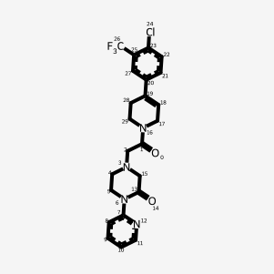 O=C(CN1CCN(c2ccccn2)C(=O)C1)N1CC=C(c2ccc(Cl)c(C(F)(F)F)c2)CC1